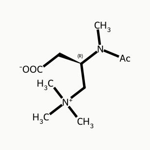 CC(=O)N(C)[C@H](CC(=O)[O-])C[N+](C)(C)C